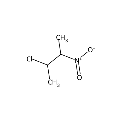 CC(Cl)C(C)[N+](=O)[O-]